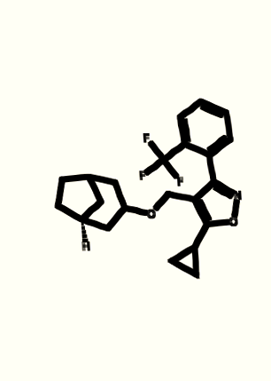 FC(F)(F)c1ccccc1-c1noc(C2CC2)c1COC1CC2CC[C@@H](C2)C1